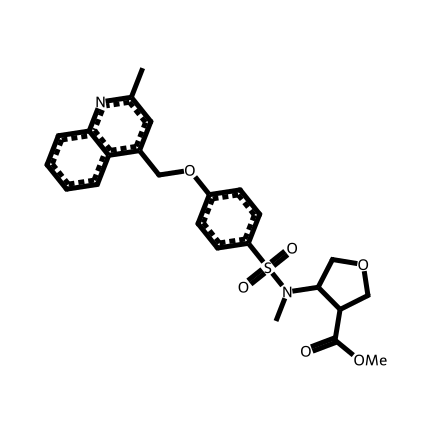 COC(=O)C1COCC1N(C)S(=O)(=O)c1ccc(OCc2cc(C)nc3ccccc23)cc1